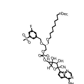 CCCCCCCCCCCCCCCCCCOC[C@H](COP(=O)(O)OC1[C@H]2O[C@@](C#N)(c3ccc4c(N)ncnn34)[C@H](O)[C@@]12O)OCc1cc(F)cc(S(C)(=O)=O)c1